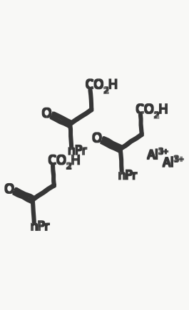 CCCC(=O)CC(=O)O.CCCC(=O)CC(=O)O.CCCC(=O)CC(=O)O.[Al+3].[Al+3]